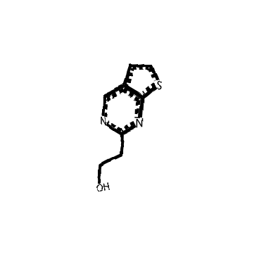 OCCc1ncc2ccsc2n1